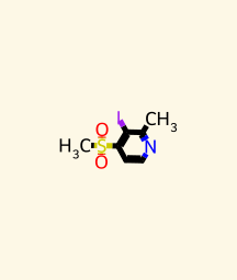 Cc1nccc(S(C)(=O)=O)c1I